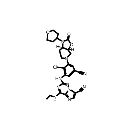 CCNc1nc(Nc2cc(C#N)cc(N3CC[C@@H]4[C@@H](C3)OC(=O)N4C3CCOCC3)c2Cl)nn2c(C#N)cnc12